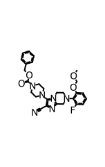 COCOc1cccc(F)c1N1CCn2c(nc(C#N)c2N2CCN(C(=O)OCc3ccccc3)CC2)C1